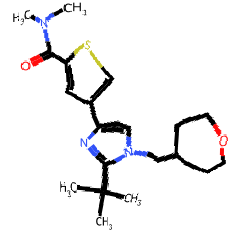 CN(C)C(=O)c1cc(-c2cn(CC3CCOCC3)c(C(C)(C)C)n2)cs1